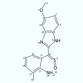 COc1ccc2[nH]c(C(=S=O)c3cccc(C)c3N)nc2c1